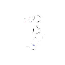 Cn1ccc(C[C@@H]2COc3cc(-c4ccccc4NS(=O)(=O)C(F)(F)F)ccc3[C@H]2O)n1